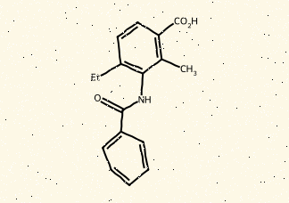 CCc1ccc(C(=O)O)c(C)c1NC(=O)c1ccccc1